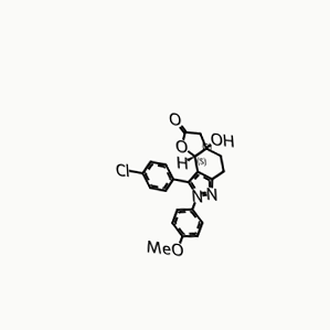 COc1ccc(-n2nc3c(c2-c2ccc(Cl)cc2)[C@@H]2OC(=O)C[C@]2(O)CC3)cc1